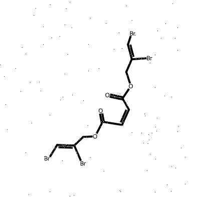 O=C(/C=C\C(=O)OC/C(Br)=C/Br)OC/C(Br)=C/Br